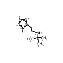 CC(C)(C)NCCc1nnn[nH]1